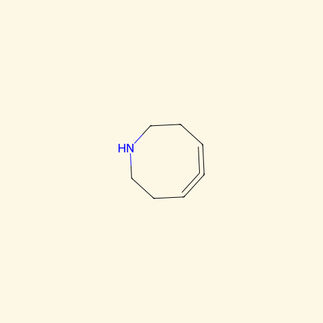 C1=CCCNCCC=1